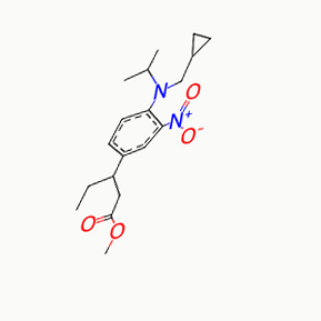 CCC(CC(=O)OC)c1ccc(N(CC2CC2)C(C)C)c([N+](=O)[O-])c1